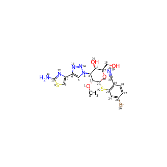 CO[C@@H]1[C@@H](n2cc(-c3csc(N)n3)nn2)[C@@H](O)[C@@H](CO)O[C@@H]1Sc1cc(Br)ccc1C#N